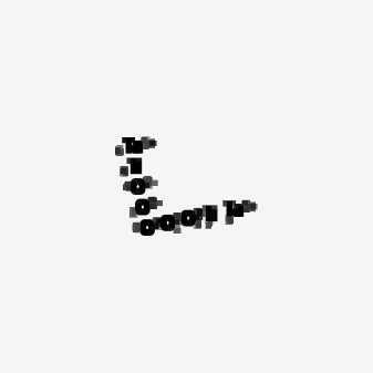 [O-2].[O-2].[O-2].[O-2].[O-2].[Ta+5].[Ta+5].[Ti].[Ti]